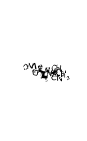 COC(=O)c1ccn(C(C)(C)C#N)n1